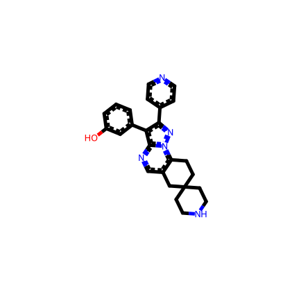 Oc1cccc(-c2c(-c3ccncc3)nn3c4c(cnc23)CC2(CCNCC2)CC4)c1